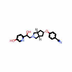 N#Cc1ccc(O[C@@H]2C[C@@H]3CN(CC(O)c4ccc(O)cn4)C[C@@H]3C2)cc1